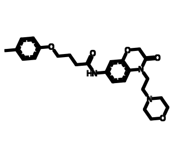 Cc1ccc(OCCCC(=O)Nc2ccc3c(c2)OCC(=O)N3CCN2CCOCC2)cc1